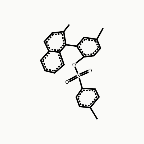 Cc1ccc(S(=O)(=O)Oc2ccc(C)cc2-c2c(C)ccc3ccccc23)cc1